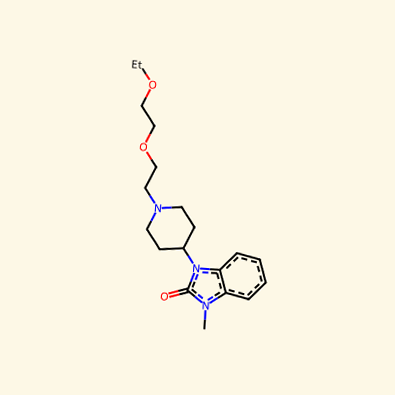 CCOCCOCCN1CCC(n2c(=O)n(C)c3ccccc32)CC1